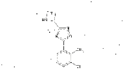 Cc1c(Cl)cccc1-c1nc(C2CCN2)no1